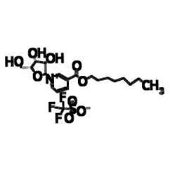 CCCCCCCCOC(=O)c1ccc[n+]([C@@H]2O[C@H](CO)[C@H](O)[C@@H]2O)c1.O=S(=O)([O-])C(F)(F)F